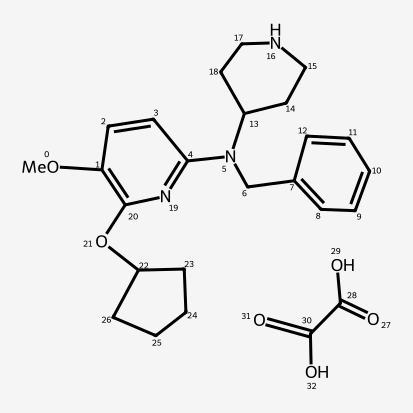 COc1ccc(N(Cc2ccccc2)C2CCNCC2)nc1OC1CCCC1.O=C(O)C(=O)O